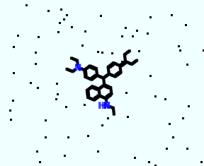 CCNc1ccc(C(c2ccc(N(CC)CC)cc2)C2C=CC(=C(CC)CC)C=C2)c2ccccc12